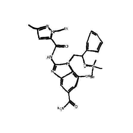 CCn1nc(C)cc1C(=O)Nc1nc2cc(C(N)=O)cc(OC)c2n1CC(O[Si](C)(C)C(C)(C)C)c1ccccc1